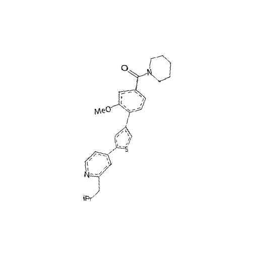 COc1cc(C(=O)N2CCCCC2)ccc1-c1csc(-c2ccnc(CC(C)C)c2)c1